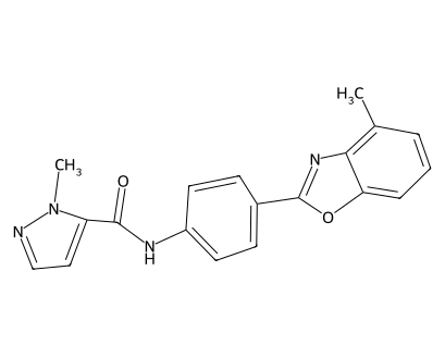 Cc1cccc2oc(-c3ccc(NC(=O)c4ccnn4C)cc3)nc12